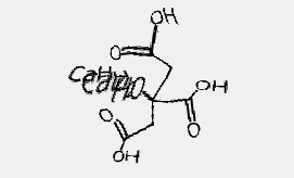 O=C(O)CC(O)(CC(=O)O)C(=O)O.[CaH2].[CaH2]